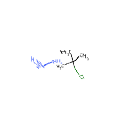 CC(C)(C)Cl.NN